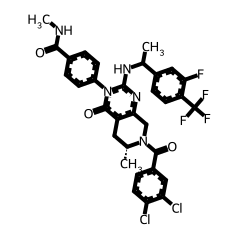 CNC(=O)c1ccc(-n2c(NC(C)c3ccc(C(F)(F)F)c(F)c3)nc3c(c2=O)C[C@@H](C)N(C(=O)c2ccc(Cl)c(Cl)c2)C3)cc1